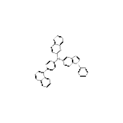 c1ccc(-n2ccc3cc(N(c4ccc(-c5cccc6ccccc56)cc4)c4ccc5ccccc5c4)ccc32)cc1